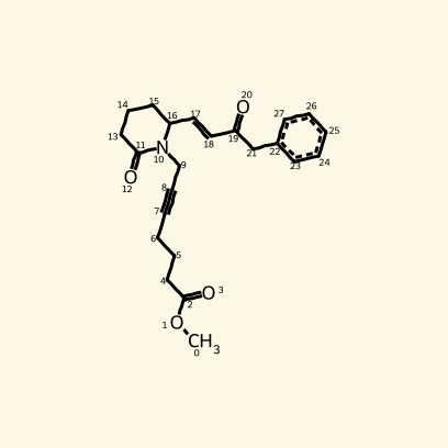 COC(=O)CCCC#CCN1C(=O)CCCC1C=CC(=O)Cc1ccccc1